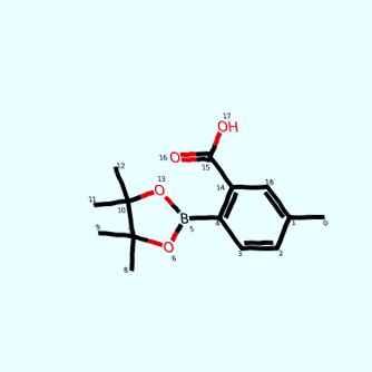 Cc1ccc(B2OC(C)(C)C(C)(C)O2)c(C(=O)O)c1